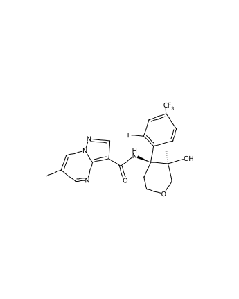 Cc1cnc2c(C(=O)N[C@]3(c4ccc(C(F)(F)F)cc4F)CCOC[C@]3(C)O)cnn2c1